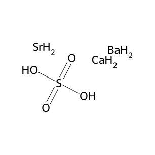 O=S(=O)(O)O.[BaH2].[CaH2].[SrH2]